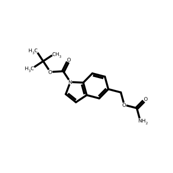 CC(C)(C)OC(=O)n1ccc2cc(COC(N)=O)ccc21